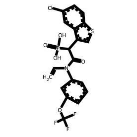 C=CN(C(=O)C(c1csc2ccc(Cl)cc12)P(=O)(O)O)c1cccc(OC(F)(F)F)c1